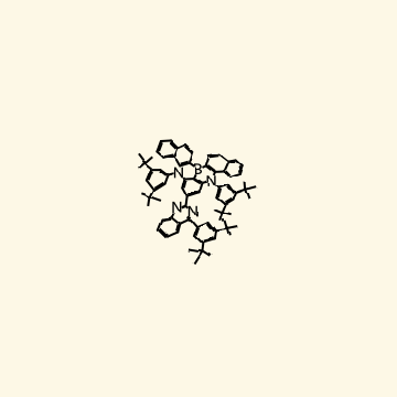 CC(C)(C)c1cc(-c2nc(-c3cc4c5c(c3)N(c3cc(C(C)(C)C)cc(C(C)(C)C)c3)c3c(ccc6ccccc36)B5c3ccc5ccccc5c3N4c3cc(C(C)(C)C)cc(C(C)(C)C)c3)nc3ccccc23)cc(C(C)(C)C)c1